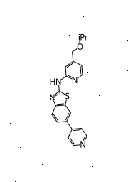 CC(C)OCc1ccnc(Nc2nc3ccc(-c4ccncc4)cc3s2)c1